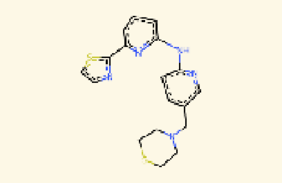 c1cc(Nc2ccc(CN3CCSCC3)cn2)nc(-c2nccs2)c1